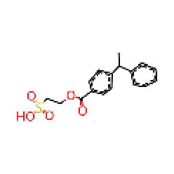 CC(c1ccccc1)c1ccc(C(=O)OCCS(=O)(=O)O)cc1